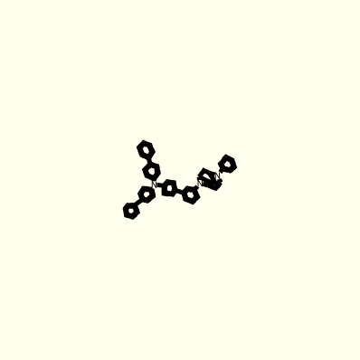 c1ccc(-c2ccc(N(c3ccc(-c4ccccc4)cc3)c3ccc(-c4cccc(N5C6CC7CC5CC(C6)N7c5ccccc5)c4)cc3)cc2)cc1